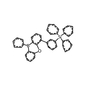 c1ccc(B2c3ccccc3Oc3c2cccc3-c2cccc([Si](c3ccccc3)(c3ccccc3)c3ccccc3)c2)cc1